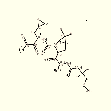 CCCCOCC(C)(C)NC(=O)N[C@H](C(=O)N1CC2C([C@H]1C(=O)NC(CC1CC1)C(=O)C(N)=O)C2(C)C)C(C)(C)C